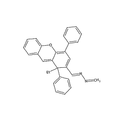 C=NN=CC1=CC(c2ccccc2)=C2Oc3ccccc3C=C2C1(CC)c1ccccc1